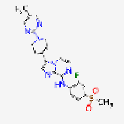 CS(=O)(=O)c1ccc(Nc2nccn3c(C4=CCN(c5ncc(C(F)(F)F)cn5)CC4)cnc23)c(F)c1